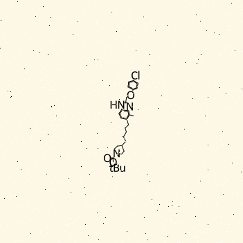 Cc1c(CCCCCC2CCN(C(=O)OC(C)(C)C)CC2)ccc2[nH]c(COc3ccc(Cl)cc3)nc12